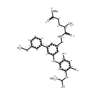 CCC(Oc1nc(Oc2cc(CNC(=O)C(C)CCC(=O)OC)cc(-c3cccc(CN)c3)c2)c(F)cc1F)C(=O)O